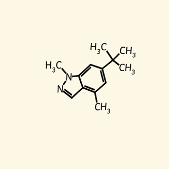 Cc1cc(C(C)(C)C)cc2c1cnn2C